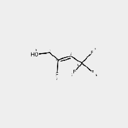 OC/C(F)=C/C(F)(F)F